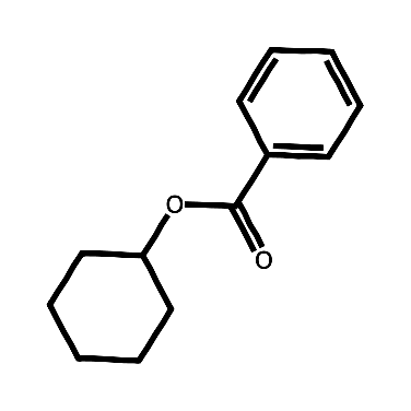 O=C(OC1CCCCC1)c1ccccc1